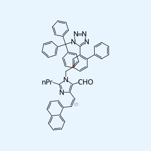 CCCc1nc(/C=C\c2cccc3ccccc23)c(C=O)n1Cc1ccc(-c2ccccc2)c(-c2nnnn2C(c2ccccc2)(c2ccccc2)c2ccccc2)c1